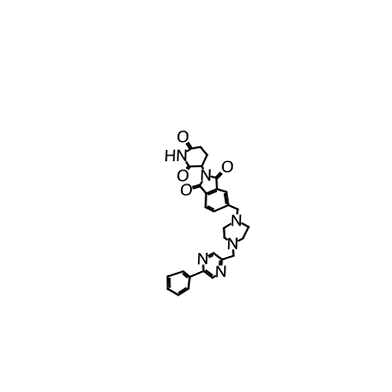 O=C1CCC(N2C(=O)c3ccc(CN4CCN(Cc5cnc(-c6ccccc6)cn5)CC4)cc3C2=O)C(=O)N1